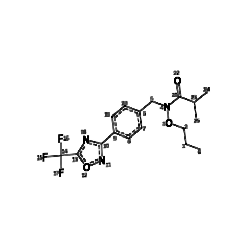 CCCON(Cc1ccc(-c2noc(C(F)(F)F)n2)cc1)C(=O)C(C)C